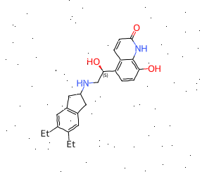 CCc1cc2c(cc1CC)CC(NC[C@@H](O)c1ccc(O)c3[nH]c(=O)ccc13)C2